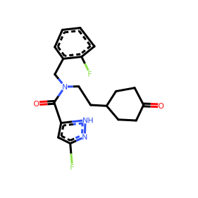 O=C1CCC(CCN(Cc2ccccc2F)C(=O)c2cc(F)n[nH]2)CC1